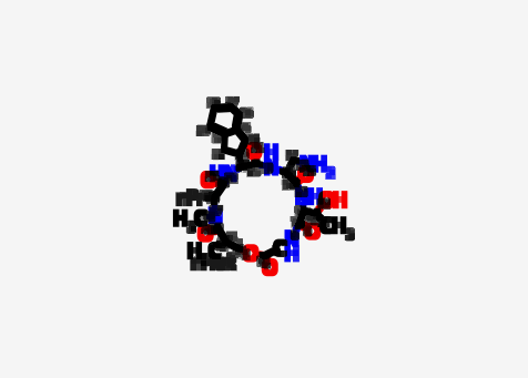 CCCCCC[C@H]1OC(=O)CNC(=O)[C@H]([C@H](C)O)NC(=O)[C@H](CN)NC(=O)[C@H](C2Cc3ccccc3C2)NC(=O)[C@H](CCC)N(C)C(=O)[C@@H]1C